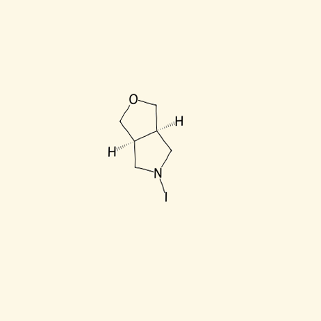 IN1C[C@H]2COC[C@H]2C1